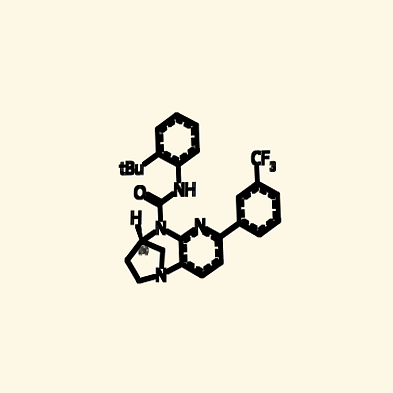 CC(C)(C)c1ccccc1NC(=O)N1c2nc(-c3cccc(C(F)(F)F)c3)ccc2N2CC[C@H]1C2